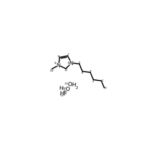 CCCCCCN1C=CN(C)C1.F.O.O